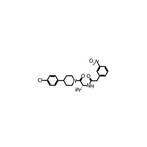 CC(C)[C@@H](NC(=O)Cc1cccc([N+](=O)[O-])c1)C(=O)N1CCC(c2ccc(Cl)cc2)CC1